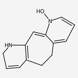 ON1C=CC=C2CCC3=C(C=C21)NCC=C3